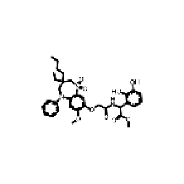 CCCCC1(CC)CN(c2ccccc2)c2cc(OC)c(OCC(=O)NC(C(=O)OC)c3cccc(O)c3O)cc2S(=O)(=O)C1